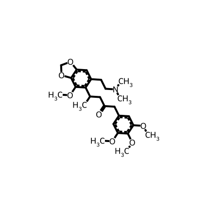 COc1cc(CC(=O)CC(C)c2c(CCN(C)C)cc3c(c2OC)OCO3)cc(OC)c1OC